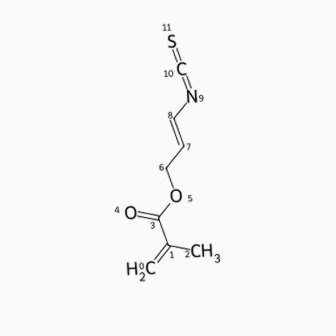 C=C(C)C(=O)OCC=CN=C=S